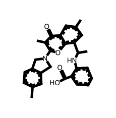 Cc1ccc2c(c1)CN(c1oc3c(C(C)Nc4ccccc4C(=O)O)cc(C)cc3c(=O)c1C)C2